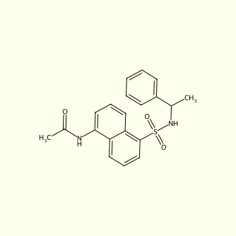 CC(=O)Nc1cccc2c(S(=O)(=O)NC(C)c3ccccc3)cccc12